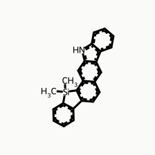 C[Si]1(C)c2ccccc2-c2ccc3cc4c(cc3c21)[nH]c1ccccc14